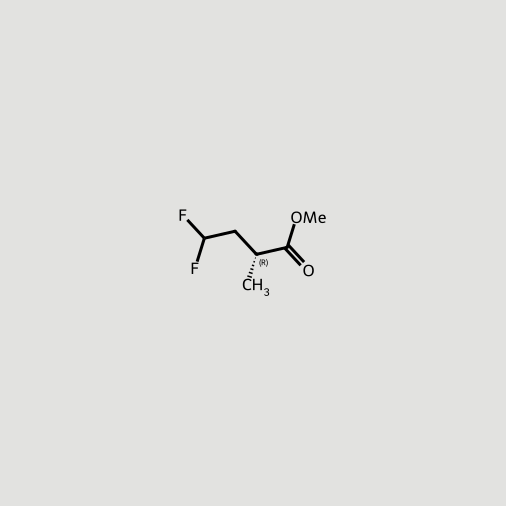 COC(=O)[C@H](C)CC(F)F